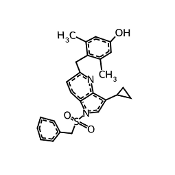 Cc1cc(O)cc(C)c1Cc1ccc2c(n1)c(C1CC1)cn2S(=O)(=O)Cc1ccccc1